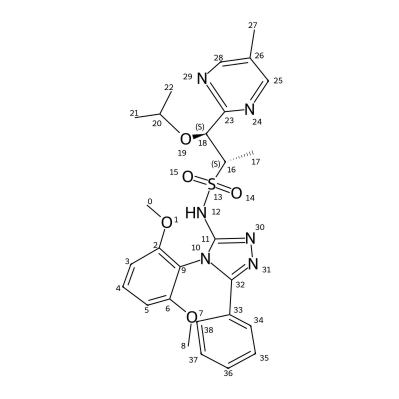 COc1cccc(OC)c1-n1c(NS(=O)(=O)[C@@H](C)[C@@H](OC(C)C)c2ncc(C)cn2)nnc1-c1ccccc1